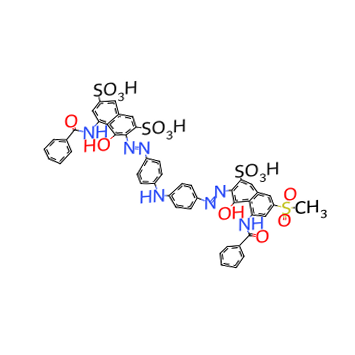 CS(=O)(=O)c1cc(NC(=O)c2ccccc2)c2c(O)c(/N=N/c3ccc(Nc4ccc(/N=N/c5c(S(=O)(=O)O)cc6cc(S(=O)(=O)O)cc(NC(=O)c7ccccc7)c6c5O)cc4)cc3)c(S(=O)(=O)O)cc2c1